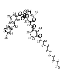 CCCCCCCCCCCCOc1cccc(OCC(COP(=O)(O)Oc2cccc(CN3C=C(C)SC3)c2)OCC)c1C